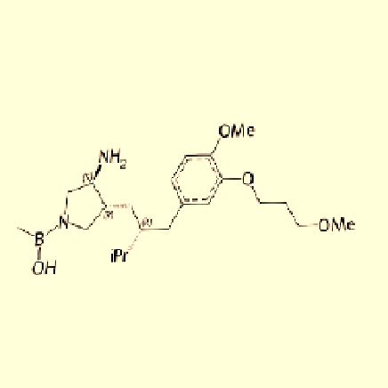 COCCCOc1cc(C[C@@H](C[C@@H]2CN(B(C)O)C[C@H]2N)C(C)C)ccc1OC